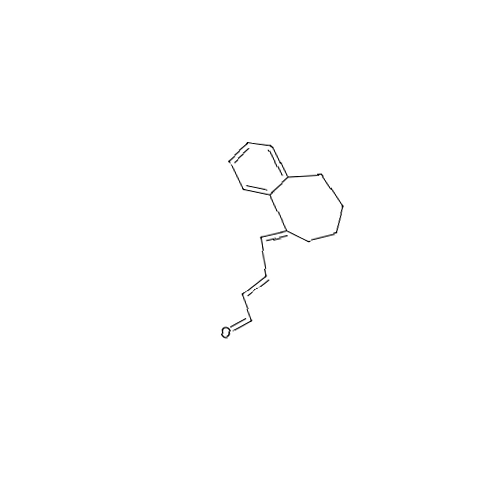 O=CC=CC=C1CCCCc2ccccc21